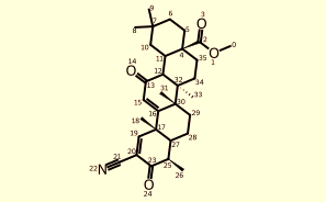 COC(=O)[C@]12CCC(C)(C)CC1C1C(=O)C=C3[C@@]4(C)C=C(C#N)C(=O)[C@H](C)C4CC[C@@]3(C)[C@]1(C)CC2